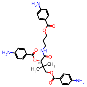 CC(C)(COC(=O)c1ccc(N)cc1)[C@@H](OC(=O)c1ccc(N)cc1)C(=O)NCCCOC(=O)c1ccc(N)cc1